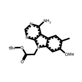 COc1cc2c(cc1C)c1c(N)ncnc1n2CC(=O)OC(C)(C)C